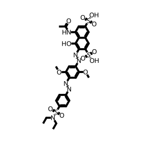 CCN(CC)S(=O)(=O)c1ccc(/N=N/c2cc(OC)c(/N=N/c3c(S(=O)(=O)O)cc4cc(S(=O)(=O)O)cc(NC(C)=O)c4c3O)cc2OC)cc1